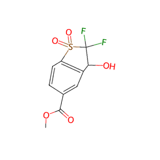 COC(=O)c1ccc2c(c1)C(O)C(F)(F)S2(=O)=O